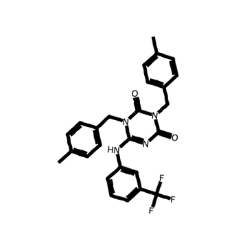 Cc1ccc(Cn2c(Nc3cccc(C(F)(F)F)c3)nc(=O)n(Cc3ccc(C)cc3)c2=O)cc1